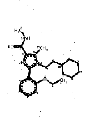 CCOc1ccccc1-c1nc(C(=O)NC)c(C)n1CCC1CCCCC1